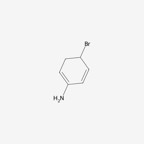 NC1=CCC(Br)C=C1